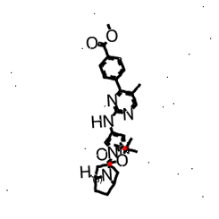 COC(=O)c1ccc(-c2nc(Nc3cnn(C4CC5CC[C@@H](C4)N5C(=O)OC(C)(C)C)c3)ncc2C)cc1